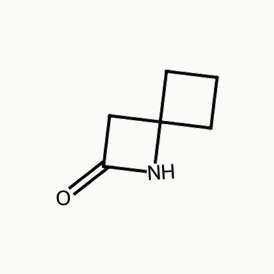 O=C1CC2(CCC2)N1